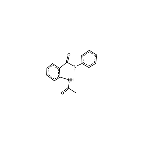 CC(=O)Nc1ccccc1C(=O)Nc1cc[c]cc1